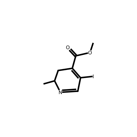 COC(=O)C1=C(I)C=NC(C)C1